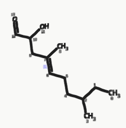 CCC(C)CC/C=C(\C)CC(O)C=O